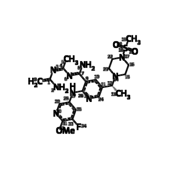 C=C(N)/N=C(C)\N=C(/N)c1cc([C@@H](C)N2CCN(S(C)(=O)=O)CC2)cnc1Nc1cnc(OC)c(F)c1